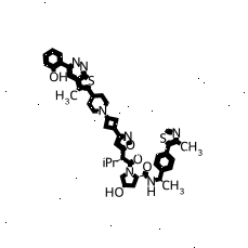 Cc1ncsc1-c1ccc([C@H](C)NC(=O)[C@@H]2C[C@@H](O)CN2C(=O)[C@@H](c2cc(C3CC(N4CCC(c5sc6nnc(-c7ccccc7O)cc6c5C)CC4)C3)no2)C(C)C)cc1